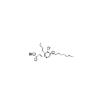 CCCCCCCCOc1ccc(C=CC(=O)O)c(CCCC)c1OC